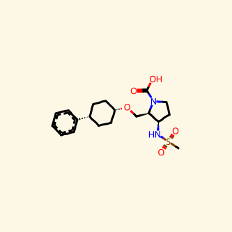 CS(=O)(=O)N[C@@H]1CCN(C(=O)O)[C@@H]1CO[C@H]1CC[C@@H](c2ccccc2)CC1